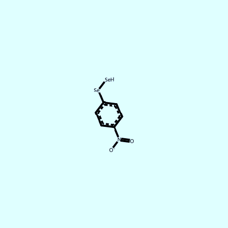 O=[N+]([O-])c1ccc([Se][SeH])cc1